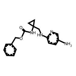 Nc1ccc(NCC2(NC(=O)OCc3ccccc3)CC2)nc1